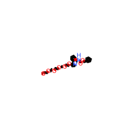 COCCOCCOCCOCCOCCO[C@H]1CCN(C[C@@H](NC(=O)OCc2ccccc2)c2ccccc2)C1